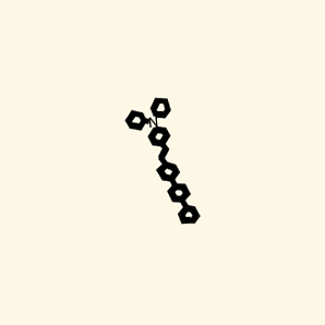 C1=CCC(N(C2=CCCC=C2)c2ccc(/C=C/c3ccc(-c4ccc(-c5ccccc5)cc4)cc3)cc2)C=C1